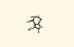 Cc1sc2cc[nH]c(=O)c2c1Br